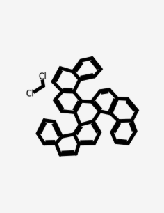 ClCCl.c1ccc2c(c1)ccc1ccc3c(c4ccc5ccc6ccccc6c5c4c4ccc5ccc6ccccc6c5c34)c12